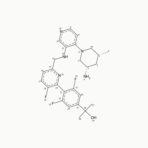 C[C@@H]1C[C@H](N)CN(c2ccncc2NCc2ccc(F)c(-c3c(F)cc(C(C)(C)O)cc3F)n2)C1